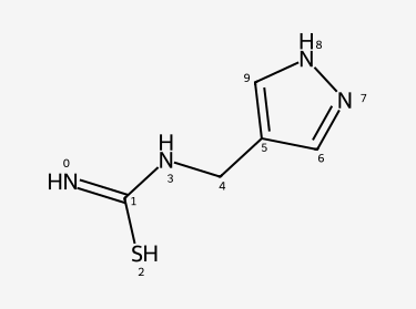 N=C(S)NCc1cn[nH]c1